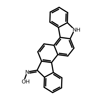 O/N=C1\c2ccccc2-c2c1ccc1c2ccc2[nH]c3ccccc3c21